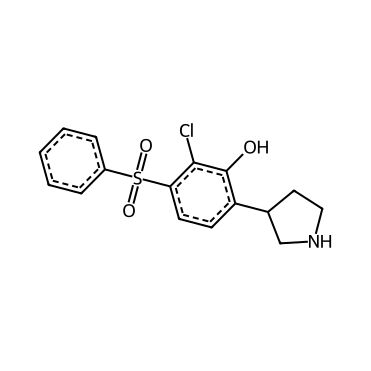 O=S(=O)(c1ccccc1)c1ccc(C2CCNC2)c(O)c1Cl